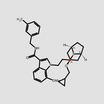 COc1cccc2c(C(=O)NCc3cccc(C)c3)cn(CCCN3[C@@H]4CC[C@H]3C[C@@H](OCC3CC3)C4)c12